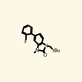 Cn1c(=O)n(CC(C)(C)C)c2ccc(-c3ccccc3F)cc21